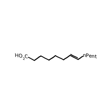 CCCCCC=CCCCCCC(=O)O